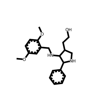 COc1ccc(OC)c(CNC2C(CCO)CNC2c2ccccc2)c1